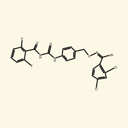 CCCC(=NOCc1ccc(NC(=O)NC(=O)c2c(F)cccc2F)cc1)c1ccc(Cl)cc1Cl